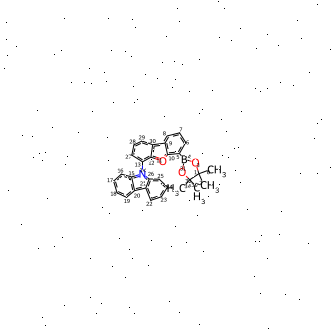 CC1(C)OB(c2cccc3c2oc2c(-n4c5ccccc5c5ccccc54)cccc23)OC1(C)C